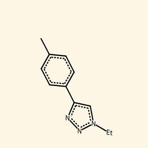 [CH2]Cn1cc(-c2ccc(C)cc2)nn1